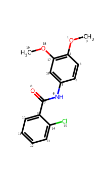 COc1ccc(NC(=O)c2ccccc2Cl)cc1OC